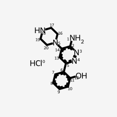 Cl.Nc1nnc(-c2ccccc2O)cc1N1CCNCC1